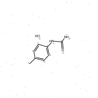 Cc1ccc(NC(N)=O)cc1.Cl